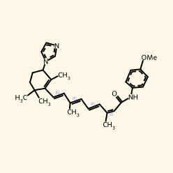 COc1ccc(NC(=O)\C=C(C)/C=C/C=C(C)/C=C/C2=C(C)C(n3ccnc3)CCC2(C)C)cc1